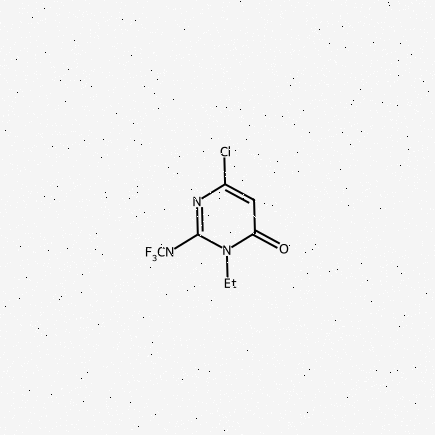 CCn1c(NC(F)(F)F)nc(Cl)cc1=O